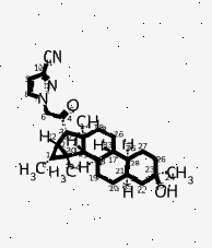 C[C@@H]1[C@@H]2[C@H](C(=O)Cn3ccc(C#N)n3)[C@@]3(C)CC[C@H]4[C@@H](CC[C@@H]5C[C@](C)(O)CC[C@@H]54)[C@@H]3[C@@]21C